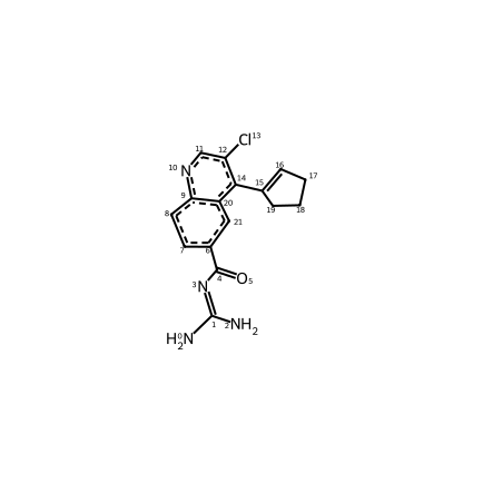 NC(N)=NC(=O)c1ccc2ncc(Cl)c(C3=CCCC3)c2c1